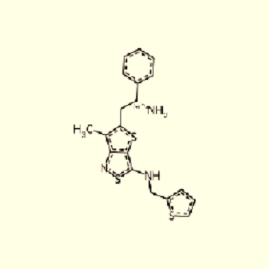 Cc1c(C[C@@H](N)c2ccccc2)sc2c(NCc3cccs3)snc12